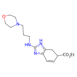 CCOC(=O)C1C=Cc2nc(NCCCN3CCOCC3)[nH]c2C1